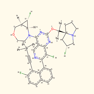 [2H]C([2H])(Oc1nc(N2CCOC[C@H]3[C@H](F)[C@H]32)c2cnc(-c3cccc4ccc(F)c(C#C[Si](C(C)C)(C(C)C)C(C)C)c34)c(F)c2n1)[C@@]12CCCN1C[C@H](F)C2